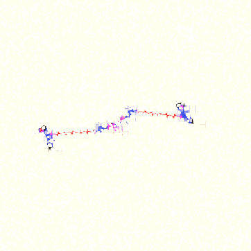 CC1CCN(c2nc(NC34CC5CC(CC(C5)C3)C4)nc(OCCOCCOCCOCCOCCOCCn3cc(CCNC(=O)CC[C@H](NC(=O)O)C(=O)NCCc4cn(CCOCCOCCOCCOCCOCCOc5nc(NC67CC8CC(CC(C8)C6)C7)nc(N6CCC(C)CC6)n5)nn4)nn3)n2)CC1